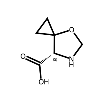 O=C(O)[C@H]1NCOC12CC2